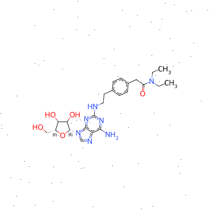 CCN(CC)C(=O)Cc1ccc(CCNc2nc(N)c3ncn([C@@H]4O[C@H](CO)C(O)C4O)c3n2)cc1